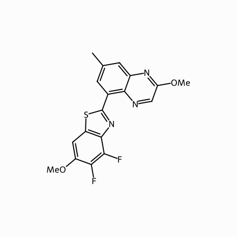 COc1cnc2c(-c3nc4c(F)c(F)c(OC)cc4s3)cc(C)cc2n1